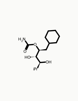 CC(C)[C@H](O)[C@H](O)[C@H](CC1CCCCC1)OC(N)=O